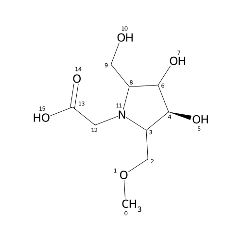 COCC1[C@H](O)C(O)C(CO)N1CC(=O)O